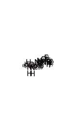 Cc1cccc(NC(=O)Nc2ccc(-c3c(C)sc4c(NC(=O)c5cc(C(F)(F)F)ccc5F)cnc(N)c34)cc2)c1